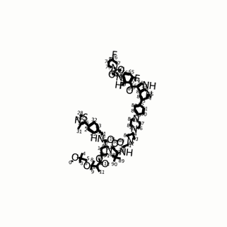 COC(C)(C)COC(C)(C)C(C)C(=O)O[C@@H]1C[C@@H](C(=O)NCc2ccc(-c3scnc3C)cc2)N(C(=O)[C@@H](NC(=O)CN2CC(N3CCN(c4ccc(-c5cnc6[nH]cc(C(=O)c7c(F)ccc(NS(=O)(=O)N8CC[C@@H](F)C8)c7F)c6c5)cc4)CC3)C2)C(C)(C)C)C1